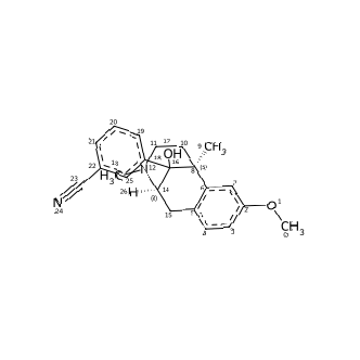 COc1ccc2c(c1)[C@]1(C)CCN(C)[C@H](C2)C1(O)c1cccc(C#N)c1